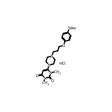 CSc1ccc(OCCCN2CCN(c3cc(=O)n(C)c(=O)n3C)CC2)cc1.Cl